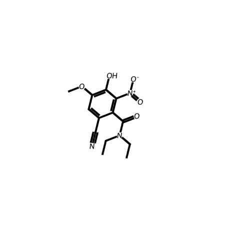 CCN(CC)C(=O)c1c(C#N)cc(OC)c(O)c1[N+](=O)[O-]